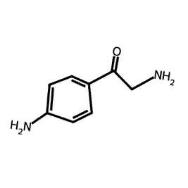 NCC(=O)c1ccc(N)cc1